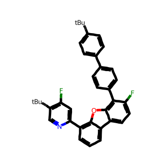 CC(C)(C)c1ccc(-c2ccc(-c3c(F)ccc4c3oc3c(-c5cc(F)c(C(C)(C)C)cn5)cccc34)cc2)cc1